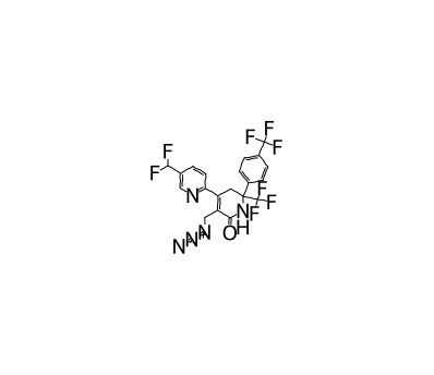 [N-]=[N+]=NCC1=C(c2ccc(C(F)F)cn2)CC(c2ccc(C(F)(F)F)cc2)(C(F)(F)F)NC1=O